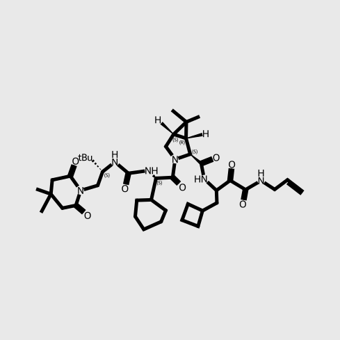 C=CCNC(=O)C(=O)C(CC1CCC1)NC(=O)[C@@H]1[C@@H]2[C@H](CN1C(=O)[C@@H](NC(=O)N[C@H](CN1C(=O)CC(C)(C)CC1=O)C(C)(C)C)C1CCCCC1)C2(C)C